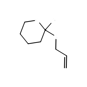 C=CCSC1([O])CCCCO1